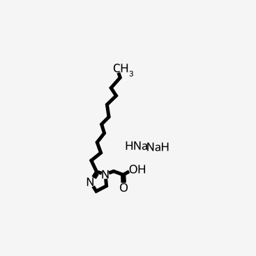 CCCCCCCCCCCC1=NCCN1CC(=O)O.[NaH].[NaH]